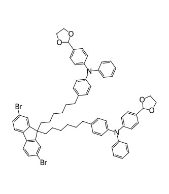 Brc1ccc2c(c1)C(CCCCCCc1ccc(N(c3ccccc3)c3ccc(C4OCCO4)cc3)cc1)(CCCCCCc1ccc(N(c3ccccc3)c3ccc(C4OCCO4)cc3)cc1)c1cc(Br)ccc1-2